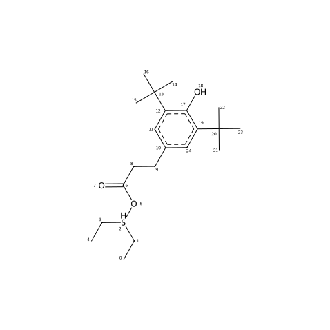 CC[SH](CC)OC(=O)CCc1cc(C(C)(C)C)c(O)c(C(C)(C)C)c1